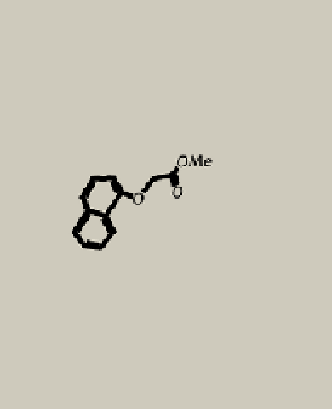 COC(=O)COc1cccc2ccccc12